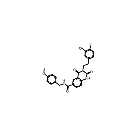 COc1ccc(CNC(=O)c2ccc3c(c2)C(=O)C(CCc2ccc(Cl)c(Cl)c2)C(=O)N3)cc1